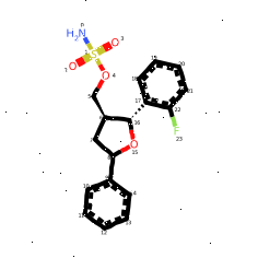 NS(=O)(=O)OC[C@@H]1CC(c2ccccc2)O[C@H]1c1ccccc1F